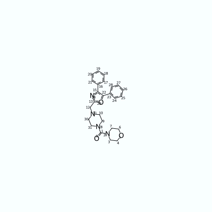 O=C(N1CCOCC1)N1CCN(Cc2nc(-c3ccccc3)c(-c3ccccc3)o2)CC1